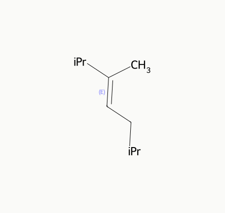 [CH2]C(C)C/C=C(\C)C(C)C